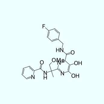 COCC(C)(NC(=O)c1ccccn1)c1nc(O)c(O)c(C(=O)NCc2ccc(F)cc2)n1